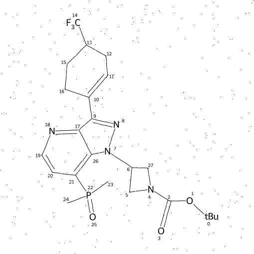 CC(C)(C)OC(=O)N1CC(n2nc(C3=CCC(C(F)(F)F)CC3)c3nccc(P(C)(C)=O)c32)C1